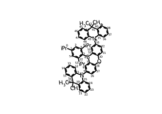 CC(C)c1cc(C(C)C)c(B2c3cc(N4c5ccccc5C(C)(C)c5ccccc54)ccc3Oc3ccc(N4c5ccccc5C(C)(C)c5ccccc54)cc32)c(C(C)C)c1